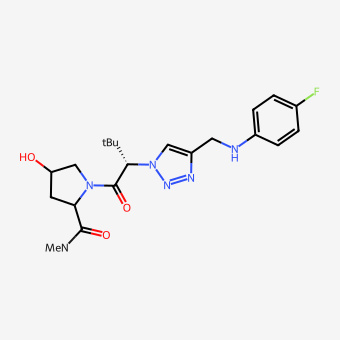 CNC(=O)C1CC(O)CN1C(=O)[C@@H](n1cc(CNc2ccc(F)cc2)nn1)C(C)(C)C